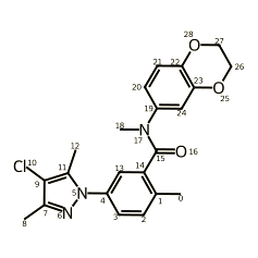 Cc1ccc(-n2nc(C)c(Cl)c2C)cc1C(=O)N(C)c1ccc2c(c1)OCCO2